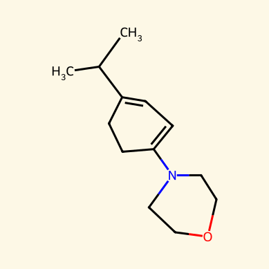 CC(C)C1=CC=C(N2CCOCC2)CC1